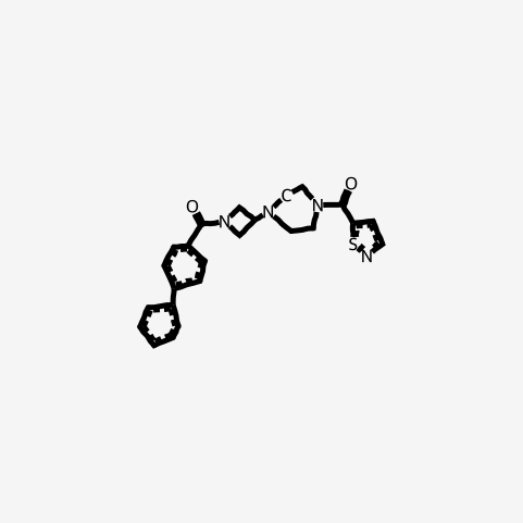 O=C(c1ccc(-c2ccccc2)cc1)N1CC(N2CCN(C(=O)c3ccns3)CC2)C1